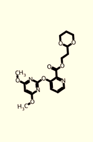 COc1cc(OC)nc(Oc2cccnc2C(=O)OCCC2OCCCO2)n1